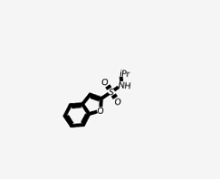 CC(C)NS(=O)(=O)c1cc2ccccc2o1